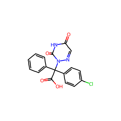 O=C(O)C(c1ccccc1)(c1ccc(Cl)cc1)n1ncc(=O)[nH]c1=O